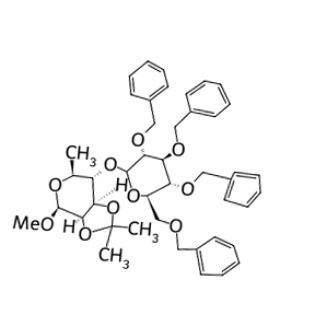 CO[C@H]1O[C@@H](C)[C@H](OC2O[C@H](COCc3ccccc3)[C@@H](OCc3ccccc3)[C@H](OCc3ccccc3)[C@H]2OCc2ccccc2)[C@H]2OC(C)(C)O[C@@H]12